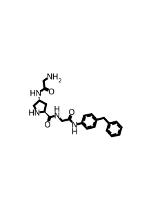 NCC(=O)N[C@H]1CN[C@H](C(=O)NCC(=O)Nc2ccc(Cc3ccccc3)cc2)C1